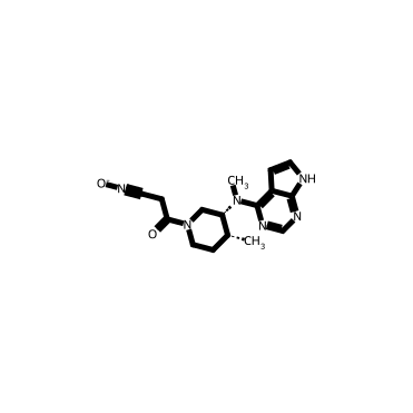 C[C@@H]1CCN(C(=O)CC#[N+][O-])C[C@@H]1N(C)c1ncnc2[nH]ccc12